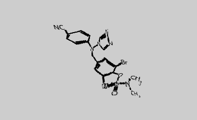 COc1cc(CN(c2ccc(C#N)cc2)n2cnnc2)cc(Br)c1OS(=O)(=O)N(C)C